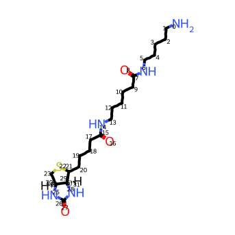 NCCCCCNC(=O)CCCCCNC(=O)CCCCC1SC[C@@H]2NC(=O)N[C@H]12